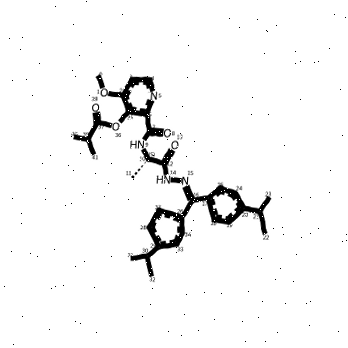 COc1ccnc(C(=O)N[C@@H](C)C(=O)NN=C(c2ccc(C(C)C)cc2)c2ccc(C(C)C)cc2)c1OC(=O)C(C)C